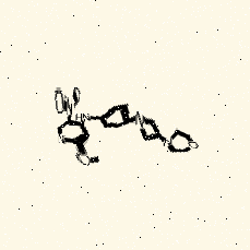 COc1cc(Nc2ccc(N3CC(N4CCOCC4)C3)cc2)c([N+](=O)[O-])cn1